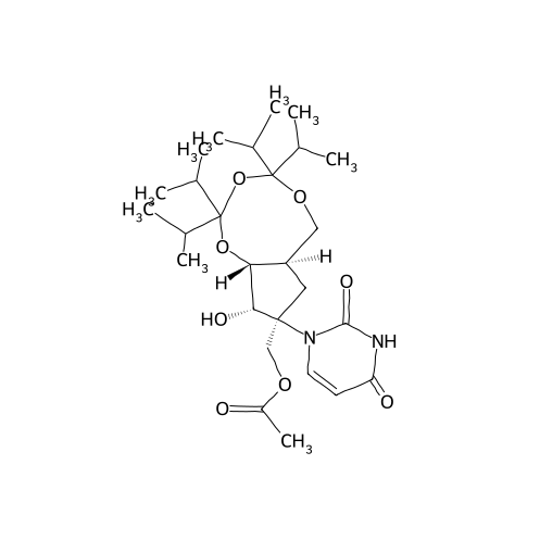 CC(=O)OC[C@@]1(n2ccc(=O)[nH]c2=O)C[C@@H]2COC(C(C)C)(C(C)C)OC(C(C)C)(C(C)C)O[C@H]2[C@H]1O